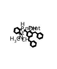 CCCCCC(CC)(Pc1ccccc1CN(C)C)c1cc(Cc2ccccc2)cc(Cc2ccccc2)c1O